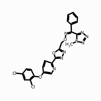 Cn1nnnc1/C(=N\OCc1nnc(-c2ccc(Oc3ccc(Cl)cc3Cl)cn2)o1)c1ccccc1